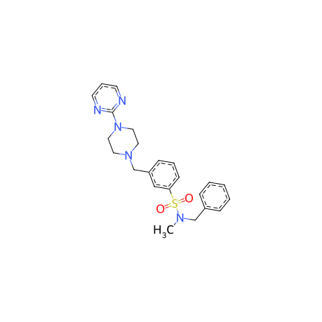 CN(Cc1ccccc1)S(=O)(=O)c1cccc(CN2CCN(c3ncccn3)CC2)c1